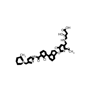 COc1nc(O[C@H]2CCc3c(-c4cccc(C(=O)Nc5ccc(CN6C=CC=CC(C)=C6)cn5)c4Cl)cccc32)c(Cl)cc1CNC[C@@H](O)CC(=O)O